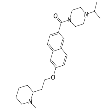 CC(C)N1CCN(C(=O)c2ccc3cc(OCCC4CCCCN4C)ccc3c2)CC1